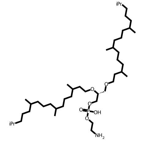 CC(C)CCCC(C)CCCC(C)CCCC(C)CCOC[C@H](COP(=O)(O)OCCN)OCCC(C)CCCC(C)CCCC(C)CCCC(C)C